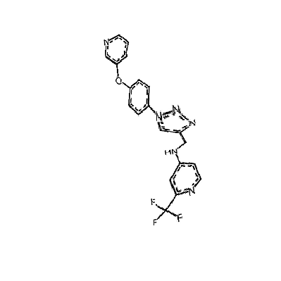 FC(F)(F)c1cc(NCc2cn(-c3ccc(Oc4cccnc4)cc3)nn2)ccn1